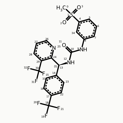 CS(=O)(=O)c1cccc(NC(=O)N[C@@H](c2ccc(C(F)(F)F)cc2)c2ncccc2C(F)(F)F)c1